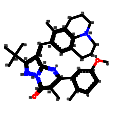 COc1ccc(C)c(-c2nc3/c(=C\c4cc5c6c(c4C)CCCN6CCC5)c(C(C)(C)C)nn3c(=O)c2C)c1